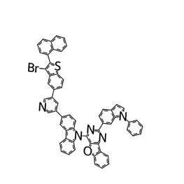 Brc1c(-c2cccc3ccccc23)sc2ccc(-c3cncc(-c4ccc5c(c4)c4ccccc4n5-c4nc(-c5ccc6ccn(-c7ccccc7)c6c5)nc5c4oc4ccccc45)c3)cc12